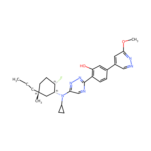 CCC[C@]1(C)CC[C@H](F)[C@H](N(c2cnc(-c3ccc(-c4cnnc(OC)c4)cc3O)nn2)C2CC2)C1